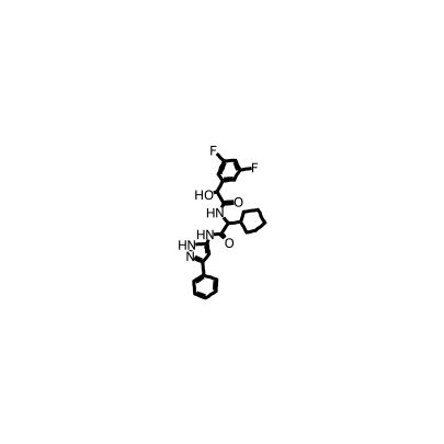 O=C(NC(C(=O)Nc1cc(-c2ccccc2)n[nH]1)C1CCCCC1)C(O)c1cc(F)cc(F)c1